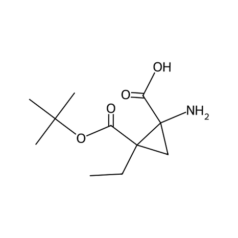 CCC1(C(=O)OC(C)(C)C)CC1(N)C(=O)O